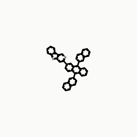 c1ccc2cc(-c3c4ccccc4c(-c4ccc5ccccc5c4)c4cc(-c5cc6sc7ccccc7c6cn5)ccc34)ccc2c1